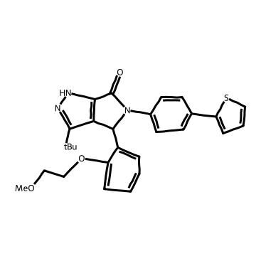 COCCOc1ccccc1C1c2c(C(C)(C)C)n[nH]c2C(=O)N1c1ccc(-c2cccs2)cc1